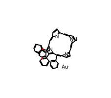 C1=Cc2cc3c(-c4ccccc4)c(-c4ccccc4)c(c(-c4ccccc4)c4nc(cc5ccc(cc1n2)[nH]5)C=C4)n3-c1ccccc1.[Au]